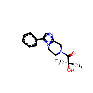 C[C@@](O)(C(=O)N1CCn2c(-c3ccccc3)cnc2C1)C(F)(F)F